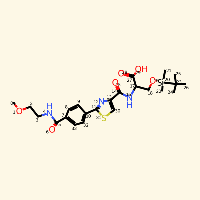 COCCNC(=O)c1ccc(-c2nc(C(=O)NC(CO[Si](C)(C)C(C)(C)C)C(=O)O)cs2)cc1